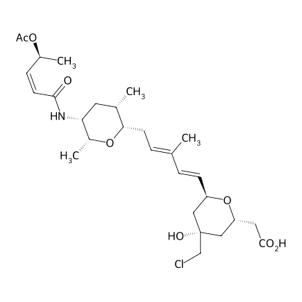 CC(=O)O[C@@H](C)/C=C\C(=O)N[C@@H]1C[C@H](C)[C@H](C/C=C(C)/C=C/[C@@H]2C[C@](O)(CCl)C[C@@H](CC(=O)O)O2)O[C@@H]1C